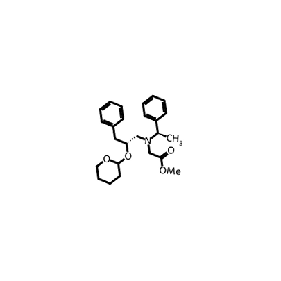 COC(=O)CN(C[C@@H](Cc1ccccc1)OC1CCCCO1)[C@H](C)c1ccccc1